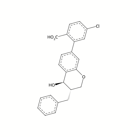 O=C(O)c1ccc(Cl)cc1-c1ccc2c(c1)OC[C@H](Cc1ccccc1)[C@H]2O